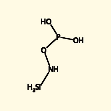 OP(O)ON[SiH3]